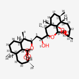 C[C@H]1[C@@H](C[C@H](O)C2O[C@@H]3O[C@]4(C)CC[C@H]5[C@H](C)CC[C@@H]([C@H]2C)[C@@]35OO4)O[C@@H]2O[C@]3(C)CC[C@H]4[C@H](C)CC[C@@H]1[C@@]24OO3